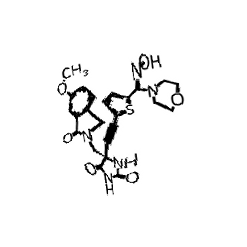 COc1ccc2c(c1)C(=O)N(C[C@@]1(C#Cc3ccc(C(=NO)N4CCOCC4)s3)NC(=O)NC1=O)C2